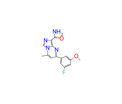 COc1cc(F)cc(-c2cc(C)n3cnc(C(N)=O)c3n2)c1